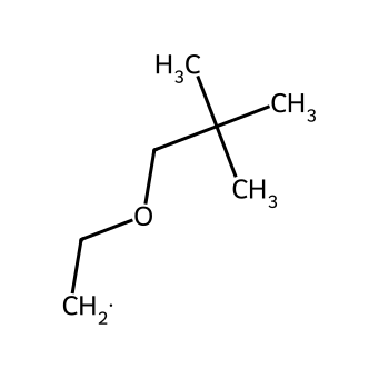 [CH2]COCC(C)(C)C